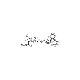 COC(=O)c1cc(Br)nn1C[C@H](N)CCOCCO[Si](c1ccccc1)(c1ccccc1)C(C)(C)C